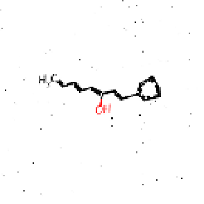 C=CC=CC=C(O)C=Cc1ccccc1